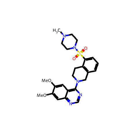 COc1cc2ncnc(N3CCc4c(cccc4S(=O)(=O)N4CCN(C)CC4)C3)c2cc1OC